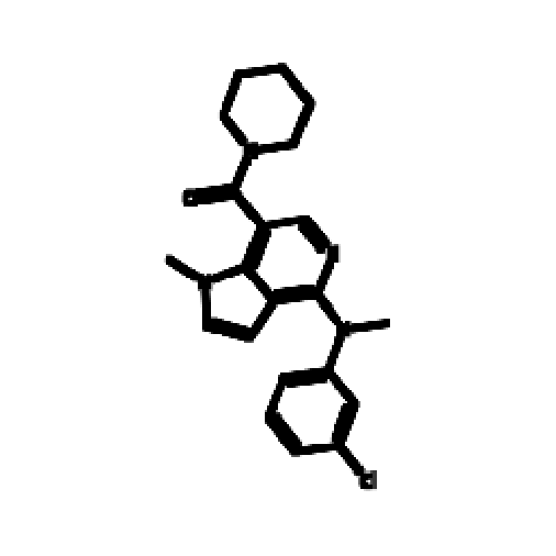 CN(c1cccc(Cl)c1)c1ncc(C(=O)N2CCCCC2)c2c1ccn2C